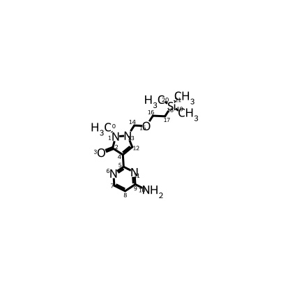 Cn1c(=O)c(-c2nccc(N)n2)cn1COCC[Si](C)(C)C